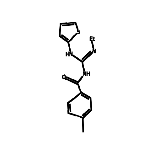 CCN=C(NC(=O)c1ccc(C)cc1)Nc1cccs1